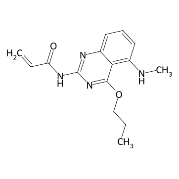 C=CC(=O)Nc1nc(OCCC)c2c(NC)cccc2n1